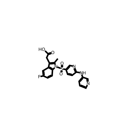 Cc1c(CC(=O)O)c2cc(F)ccc2n1S(=O)(=O)c1ccc(Nc2cccnc2)nc1